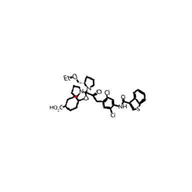 CCOC[C@@H]1CCCN1C(OC1CCC(C(=O)O)CC1)(C(=O)Cc1cc(Cl)c(NC(=O)c2csc3ccccc23)cc1Cl)N1CCCC1